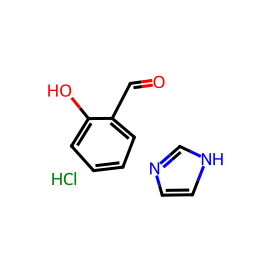 Cl.O=Cc1ccccc1O.c1c[nH]cn1